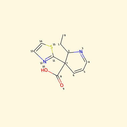 CCC1N=CC=CC1(C(=O)O)c1nccs1